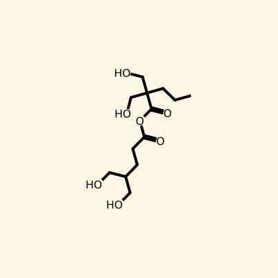 CCCC(CO)(CO)C(=O)OC(=O)CCC(CO)CO